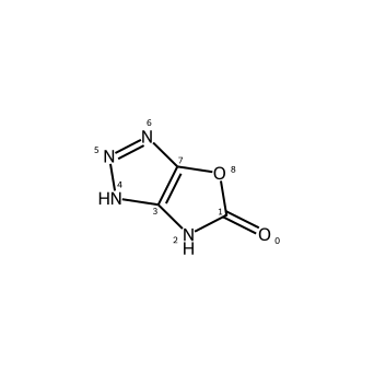 O=c1[nH]c2[nH]nnc2o1